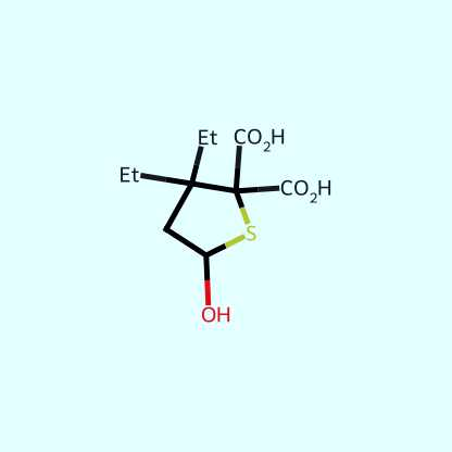 CCC1(CC)CC(O)SC1(C(=O)O)C(=O)O